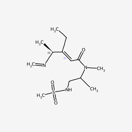 C=N[C@@H](C)/C(=C/C(=O)N(C)C(C)CNS(C)(=O)=O)CC